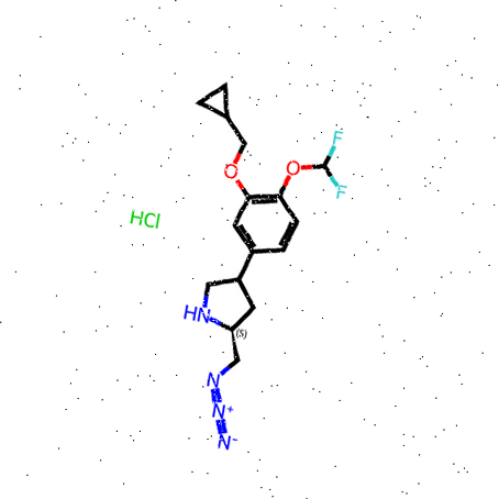 Cl.[N-]=[N+]=NC[C@@H]1CC(c2ccc(OC(F)F)c(OCC3CC3)c2)CN1